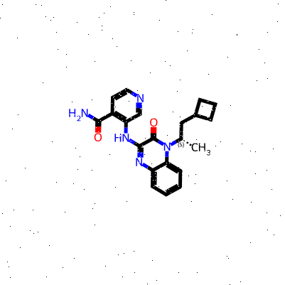 C[C@@H](CC1CCC1)n1c(=O)c(Nc2cnccc2C(N)=O)nc2ccccc21